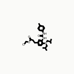 Cc1ccc(NC(=O)Nc2cc(CCC(=O)OCCl)ccc2N(CC(C)C)CC(C)C)cc1